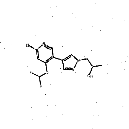 CC(O)Cn1cc(-c2cnc(Cl)cc2OC(F)F)cn1